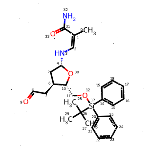 C/C(=C/N[C@H]1C[C@H](CC=O)[C@@H](CO[Si](c2ccccc2)(c2ccccc2)C(C)(C)C)O1)C(N)=O